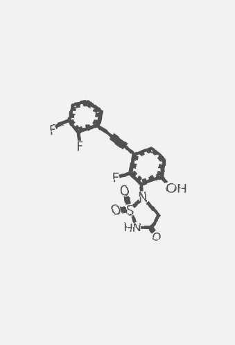 O=C1CN(c2c(O)ccc(C#Cc3cccc(F)c3F)c2F)S(=O)(=O)N1